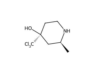 C[C@H]1C[C@](O)(C(Cl)(Cl)Cl)CCN1